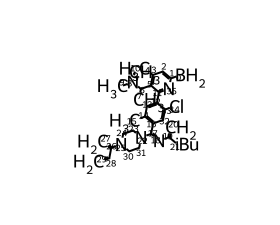 Bc1cc(C)c(C(C)N(C)C)c(-c2cc(C)c(/C(=N\C(=C)C(C)CC)N3CCN(C(=C)C=C)CC3)cc2Cl)n1